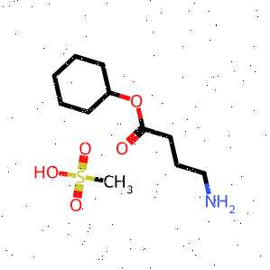 CS(=O)(=O)O.NCCCC(=O)OC1CCCCC1